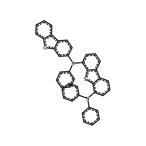 c1ccc(N(c2ccccc2)c2cccc3c2sc2c(N(c4ccccc4)c4ccc5c(c4)oc4ccccc45)cccc23)cc1